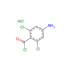 Cl.Nc1cc(Cl)c(C(=O)Cl)c(Cl)c1